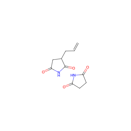 C=CCC1CC(=O)NC1=O.O=C1CCC(=O)N1